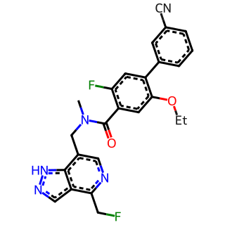 CCOc1cc(C(=O)N(C)Cc2cnc(CF)c3cn[nH]c23)c(F)cc1-c1cccc(C#N)c1